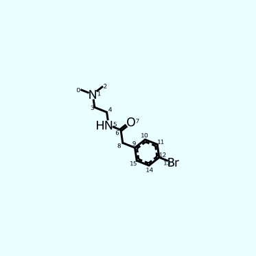 CN(C)CCNC(=O)Cc1ccc(Br)cc1